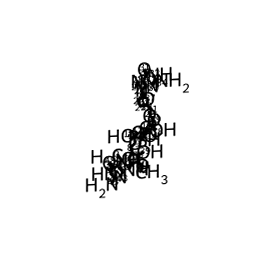 CNc1c(NC2OC(COP(O)OP(=O)(S)OP(O)OOCC3CCC(n4cnc5c(=O)[nH]c(N)nc54)O3)C(O)C2OC)nc(N)[nH]c1=O